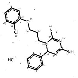 Cl.NC1=NC(c2ccccc2)N(CCCOc2ccccc2Cl)C(N)=N1